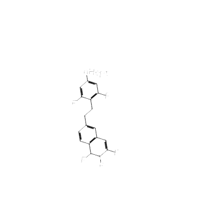 CCCCCCCc1cc(F)c(CCc2ccc3c(c2)C=C(F)[C@@H](F)C3F)c(F)c1